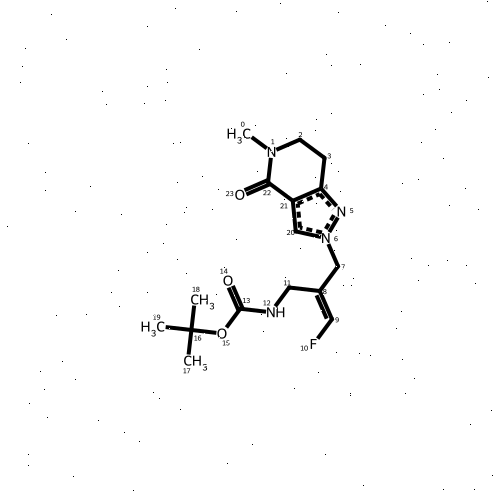 CN1CCc2nn(C/C(=C/F)CNC(=O)OC(C)(C)C)cc2C1=O